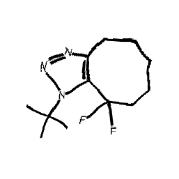 CC(C)(C)n1nnc2c1C(F)(F)CCCCC2